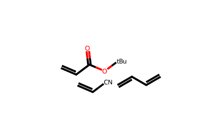 C=CC#N.C=CC(=O)OC(C)(C)C.C=CC=C